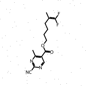 CC(CCCCOC(=O)c1cnc(C#N)nc1C)=C(F)F